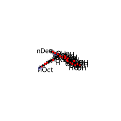 CCCCCCCC/C=C\CCCCCCCCCCCCCC(=O)N[C@@H](CO[C@@H]1OC(CO)[C@@H](O[C@@H]2OC(CO)[C@H](O[C@@H]3OC(CO)[C@H](O)[C@H](O[C@H]4OC(CO)[C@H](O)[C@H](O)C4O)C3O)[C@H](O)C2O)[C@H](O)C1O)[C@H](O)/C=C/CCCCCCCCCCCCC